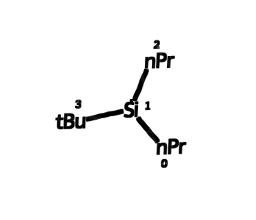 CCC[Si](CCC)C(C)(C)C